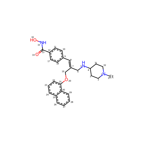 CCN1CCC(NC/C(=C/c2ccc(C(=O)NO)cc2)COc2cccc3ccccc23)CC1